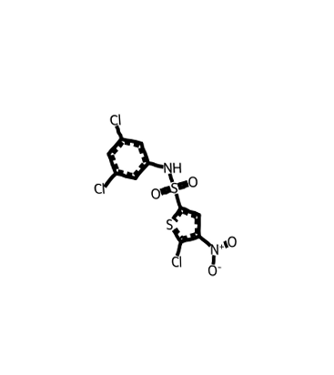 O=[N+]([O-])c1cc(S(=O)(=O)Nc2cc(Cl)cc(Cl)c2)sc1Cl